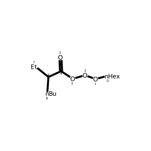 CCCCCCOOOC(=O)C(CC)CCCC